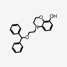 Oc1cccc2c1OCCN2CCOC(c1ccccc1)c1ccccc1